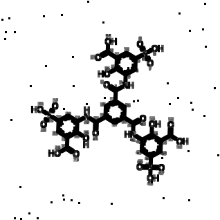 O=C(Nc1cc(S(=O)(=O)O)cc(C(=O)O)c1O)c1cc(C(=O)Nc2cc(S(=O)(=O)O)cc(C(=O)O)c2O)cc(C(=O)Nc2cc(S(=O)(=O)O)cc(C(=O)O)c2O)c1